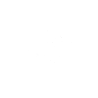 Cc1cc(-c2ccccc2)c(-c2cc(C(N)=O)ccc2C(F)(F)F)cn1